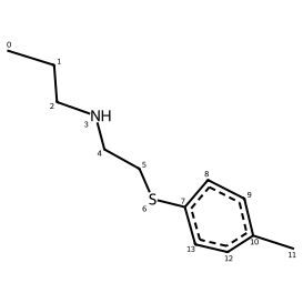 CCCNCCSc1ccc(C)cc1